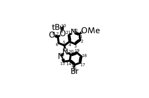 COc1ccc(C(CC(=O)OC(C)(C)C)n2ncc3c(Br)cccc32)cn1